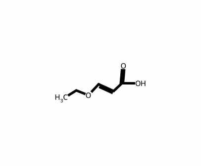 CCO/C=C/C(=O)O